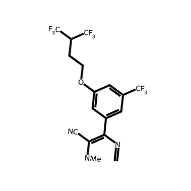 C=N/C(=C(/C#N)NC)c1cc(OCCC(C(F)(F)F)C(F)(F)F)cc(C(F)(F)F)c1